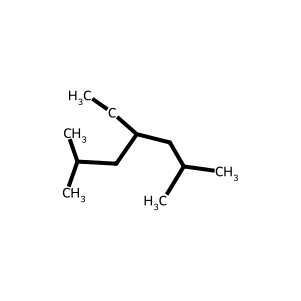 CC[C](CC(C)C)CC(C)C